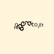 CCOC(=O)N1CCC(CN2CCC3(CC2)CC(=O)Nc2ccccc23)CC1